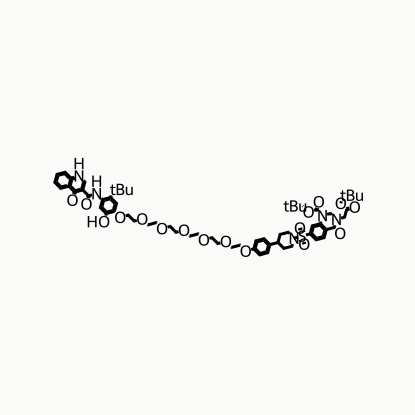 CC(C)(C)OC(=O)CN1CN(C(=O)OC(C)(C)C)c2cc(S(=O)(=O)N3CCC(c4ccc(OCCOCCOCCOCCOCCOCCOc5cc(C(C)(C)C)c(NC(=O)c6c[nH]c7ccccc7c6=O)cc5O)cc4)CC3)ccc2C1=O